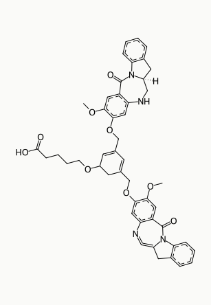 COc1cc2c(cc1OCC1=CC(OCCCCC(=O)O)CC(COc3cc4c(cc3OC)C(=O)N3C(=C=N4)Cc4ccccc43)=C1)NC[C@@H]1Cc3ccccc3N1C2=O